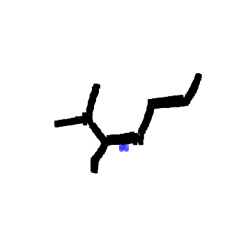 CC=C/N=C(/C)N(C)C